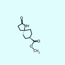 COC(=O)[C@H]1CC[C@@]2(CCC(=O)N2)CC1